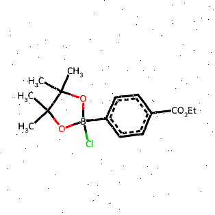 CCOC(=O)c1ccc([B-]2(Cl)OC(C)(C)C(C)(C)O2)cc1